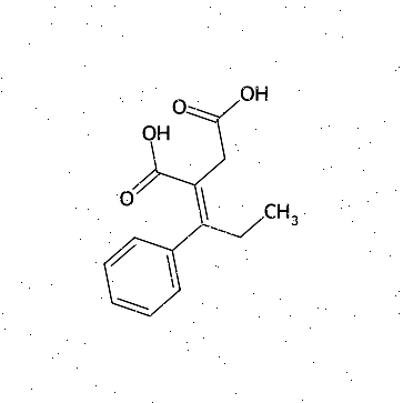 CCC(=C(CC(=O)O)C(=O)O)c1ccccc1